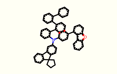 c1ccc(-c2ccccc2-c2ccccc2-c2ccccc2N(c2ccc(-c3cccc4oc5ccccc5c34)cc2)c2ccc3c(c2)-c2ccccc2C32CCCC2)cc1